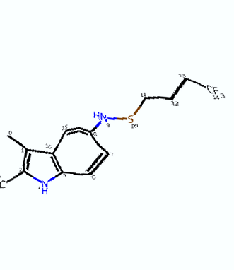 Cc1c(C#N)[nH]c2ccc(NSCCCC(F)(F)F)cc12